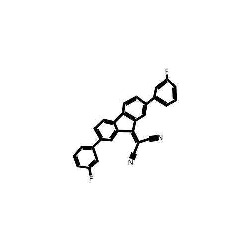 N#CC(C#N)=C1c2cc(-c3cccc(F)c3)ccc2-c2ccc(-c3cccc(F)c3)cc21